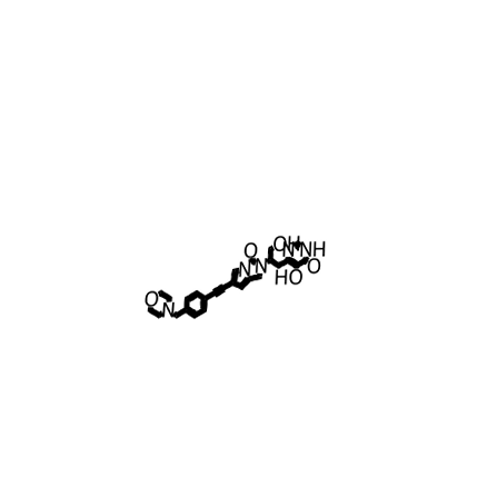 O=C1N(C(CO)Cc2nc[nH]c(=O)c2O)Cc2cc(C#Cc3ccc(CN4CCOCC4)cc3)cn21